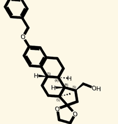 C[C@]12CC[C@@H]3c4ccc(OCc5ccccc5)cc4CC[C@H]3[C@@H]1[C@@H](CO)CC21OCCO1